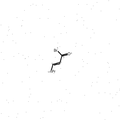 CCCC=CC(=O)Br